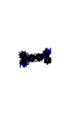 c1ccc2c(c1)c1cnccc1n2-c1ccc(-c2ccc(-n3c4ccccc4c4cnccc43)cc2)cc1